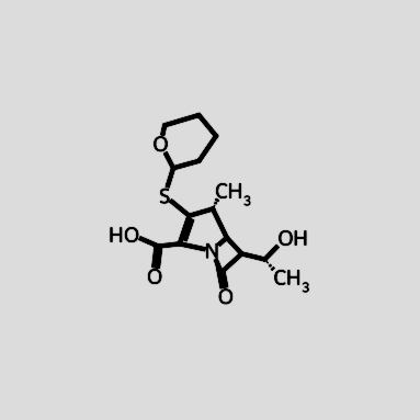 C[C@@H](O)C1C(=O)N2C(C(=O)O)=C(SC3CCCCO3)[C@H](C)C12